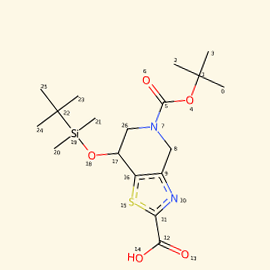 CC(C)(C)OC(=O)N1Cc2nc(C(=O)O)sc2C(O[Si](C)(C)C(C)(C)C)C1